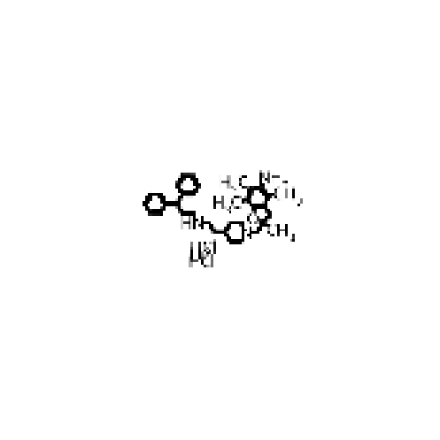 Cc1c(C)c2c(c(C)c1N)CC(C)(CN1CCC(CCNCCC(c3ccccc3)c3ccccc3)CC1)O2.Cl.Cl.Cl